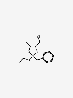 CCO[Si](Cc1ccccc1)(OCC)OCCCl